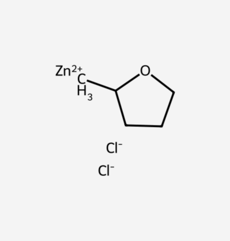 CC1CCCO1.[Cl-].[Cl-].[Zn+2]